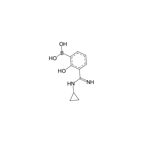 N=C(NC1CC1)c1cccc(B(O)O)c1O